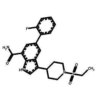 CCS(=O)(=O)N1CCC(c2c[nH]c3c(C(N)=O)cc(-c4ccccc4F)cc23)CC1